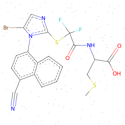 CSCC(NC(=O)C(F)(F)Sc1ncc(Br)n1-c1ccc(C#N)c2ccccc12)C(=O)O